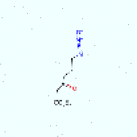 CCOC(=O)CC(=O)CCCN=[N+]=[N-]